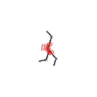 CCCCCCCC/C=C\CCCCCCCC(=O)OC[C@H](O)COP(=O)(O)OC[C@H](COC(=O)CCCCCCC/C=C\CCCCCCCC)OC(=O)CCCCCCC/C=C\CCCCCCCC